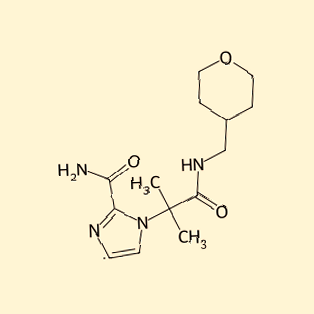 CC(C)(C(=O)NCC1CCOCC1)n1c[c]nc1C(N)=O